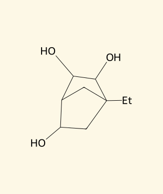 CCC12CC(O)C(C1)C(O)C2O